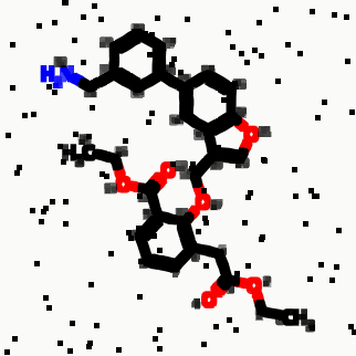 CCOC(=O)Cc1cccc(C(=O)OCC)c1OCc1coc2ccc(-c3cccc(CN)c3)cc12